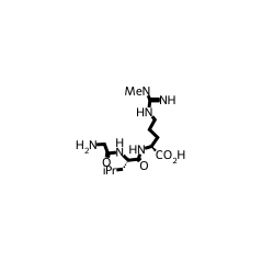 CNC(=N)NCCC[C@H](NC(=O)[C@H](CC(C)C)NC(=O)CN)C(=O)O